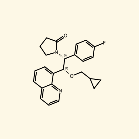 O=C1CCCN1[C@H](c1ccc(F)cc1)[C@H](OCC1CC1)c1cccc2cccnc12